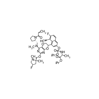 C#Cc1c(F)ccc2cc(OP(=O)(N[C@@H](C)C(=O)OC(C)C)OC(C)C)cc(C3COc4c(nc(OC[C@]5(C)C[C@@H](F)CN5C)nc4N(C)C[C@@H]4CCCN4C(=O)C=C)O3)c12